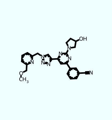 COCc1cccc(Cn2cc(-c3cc(-c4cccc(C#N)c4)nc(N4CCC(O)C4)n3)nn2)n1